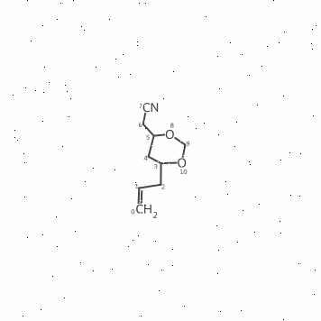 C=CCC1CC(CC#N)OCO1